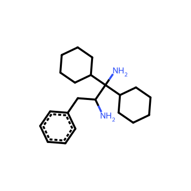 NC(Cc1ccccc1)C(N)(C1CCCCC1)C1CCCCC1